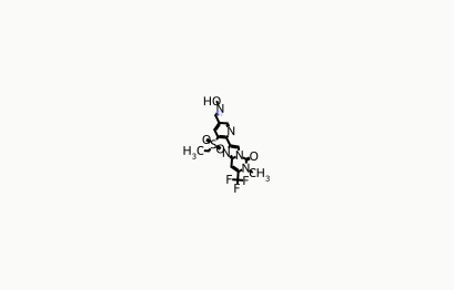 CCS(=O)(=O)c1cc(/C=N/O)cnc1-c1cn2c(=O)n(C)c(C(F)(F)F)cc2n1